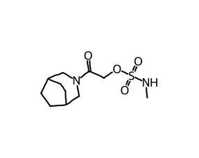 CNS(=O)(=O)OCC(=O)N1CC2CCC(CC2)C1